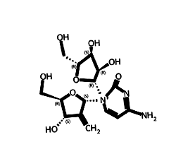 C=C1[C@H](O)[C@@H](CO)O[C@@H]1[N+]1([C@@H]2O[C@H](CO)[C@@H](O)[C@H]2O)C=CC(N)=NC1=O